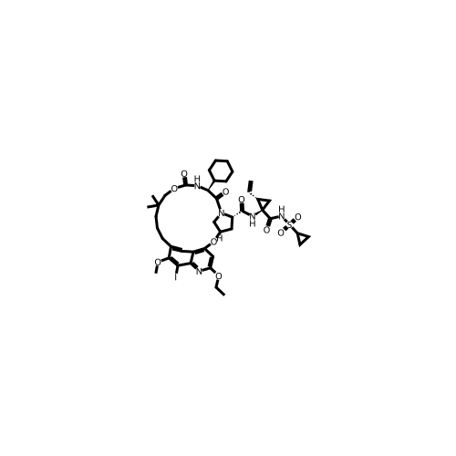 C=C[C@@H]1C[C@]1(NC(=O)[C@@H]1C[C@@H]2CN1C(=O)[C@H](C1CCCCC1)NC(=O)OCC(C)(C)CCCc1cc3c(cc(OCC)nc3c(I)c1OC)O2)C(=O)NS(=O)(=O)C1CC1